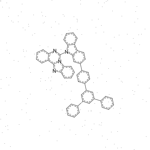 c1ccc(-c2cc(-c3ccccc3)cc(-c3ccc(-c4ccc5c6ccccc6n(-c6nc7ccccc7c7nc8ccccc8n67)c5c4)cc3)c2)cc1